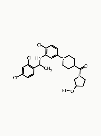 CCOC1CCN(C(=O)C2CCN(c3ccc(Cl)c(NC(C)c4ccc(Cl)cc4Cl)c3)CC2)C1